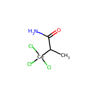 C[CH](C(N)=O)[Ge]([Cl])([Cl])[Cl]